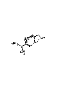 CC(C)N(C)c1cc2c(cn1)CNC2